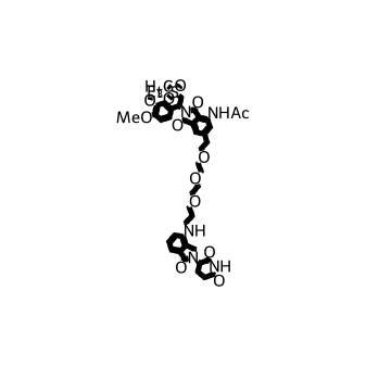 CCOc1cc(C(CS(C)(=O)=O)N2C(=O)c3cc(CCOCCOCCOCCCNc4cccc5c4CN(C4CCC(=O)NC4=O)C5=O)cc(NC(C)=O)c3C2=O)ccc1OC